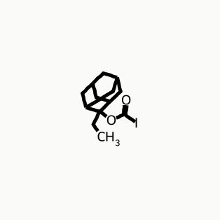 CCC1(OC(=O)I)C2CC3CC(C2)CC1C3